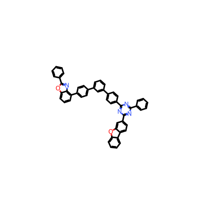 c1ccc(-c2nc(-c3ccc(-c4cccc(-c5ccc(-c6cccc7oc(-c8ccccc8)nc67)cc5)c4)cc3)nc(-c3ccc4c(c3)oc3ccccc34)n2)cc1